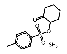 Cc1ccc(S(=O)(=O)OC2CCCCC2=O)cc1.S